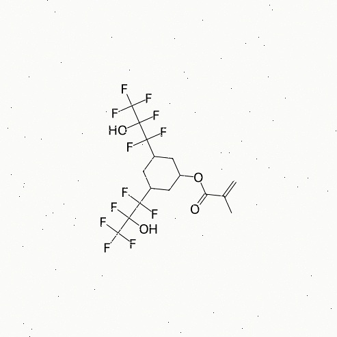 C=C(C)C(=O)OC1CC(C(F)(F)C(O)(F)C(F)(F)F)CC(C(F)(F)C(O)(F)C(F)(F)F)C1